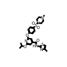 Cc1csc(NC(=O)c2cc(Oc3ccc(S(=O)(=O)N4CCN(C)CC4)cc3)nc(OC(C)C)c2)n1